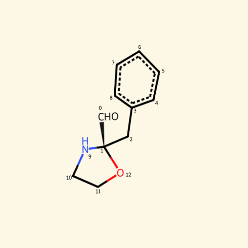 O=C[C@]1(Cc2ccccc2)NCCO1